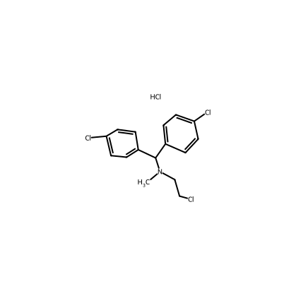 CN(CCCl)C(c1ccc(Cl)cc1)c1ccc(Cl)cc1.Cl